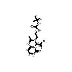 CC(=O)N(CCNC(=O)OC(C)(C)C)C(C(=O)O)n1cccnc1=O